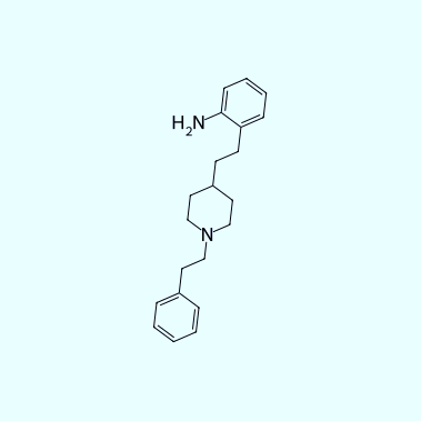 Nc1ccccc1CCC1CCN(CCc2ccccc2)CC1